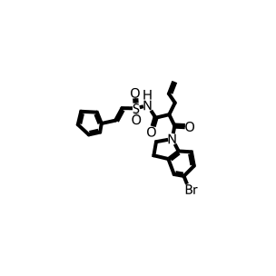 C=CCC(C(=O)NS(=O)(=O)C=Cc1ccccc1)C(=O)N1CCc2cc(Br)ccc21